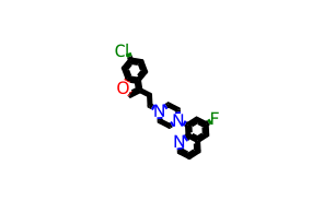 Fc1cc(N2CCN(CCc3coc4cc(Cl)ccc34)CC2)c2ncccc2c1